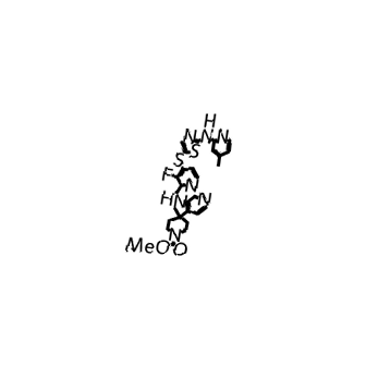 COC(=O)N1CCC(CNCc2nccc(Sc3cnc(Nc4cc(C)ccn4)s3)c2F)(c2ccncc2)CC1